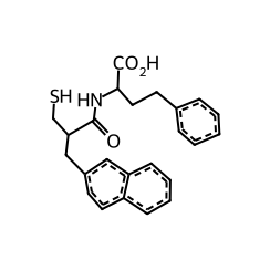 O=C(NC(CCc1ccccc1)C(=O)O)C(CS)Cc1ccc2ccccc2c1